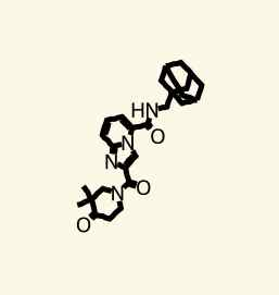 CC1(C)CN(C(=O)c2cn3c(C(=O)NCC45CC6CC(CC(C6)C4)C5)cccc3n2)CCC1=O